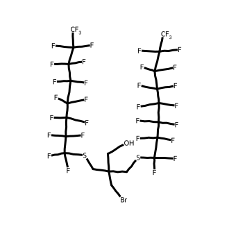 OCC(CBr)(CSC(F)(F)C(F)(F)C(F)(F)C(F)(F)C(F)(F)C(F)(F)C(F)(F)C(F)(F)F)CSC(F)(F)C(F)(F)C(F)(F)C(F)(F)C(F)(F)C(F)(F)C(F)(F)C(F)(F)F